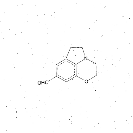 O=Cc1cc2c3c(c1)OCCN3CC2